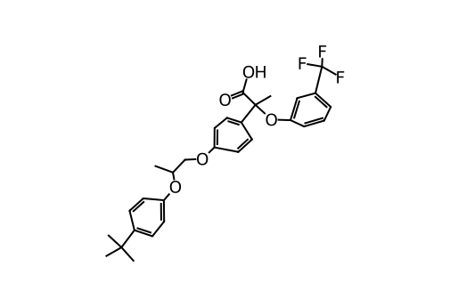 CC(COc1ccc(C(C)(Oc2cccc(C(F)(F)F)c2)C(=O)O)cc1)Oc1ccc(C(C)(C)C)cc1